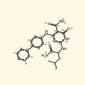 CC(C)CC(Nc1nc(Nc2ccc(-c3cccnc3)cc2)c(C(N)=O)c(=O)[nH]1)C(N)=O